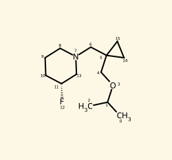 CC(C)OCC1(CN2CCC[C@@H](F)C2)CC1